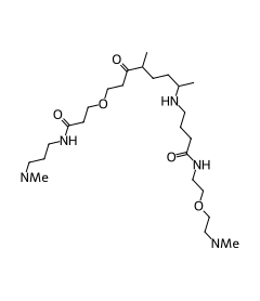 CNCCCNC(=O)CCOCCC(=O)C(C)CCC(C)NCCCC(=O)NCCOCCNC